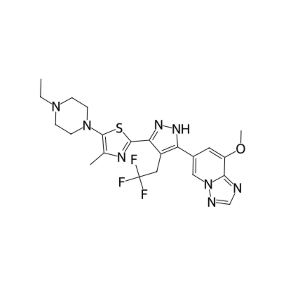 CCN1CCN(c2sc(-c3n[nH]c(-c4cc(OC)c5ncnn5c4)c3CC(F)(F)F)nc2C)CC1